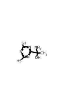 CC(N)(O)c1nc(S)nc(S)n1